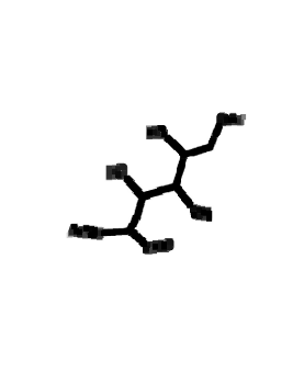 CC(=O)NC(C=O)C(O)C(O)C(O)COC(C)=O